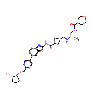 C[C@@H](CNC(=O)C1CCOCC1)NCC1CC(C(=O)Nc2nc3ccc(-c4cnc(CO[C@H]5CCC[C@@H]5O)nc4)cc3s2)C1